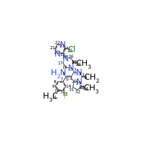 C=C(/N=C(\C=C(/N)c1ccc(C)c(F)c1)N1CCN(c2nccnc2Cl)C[C@H]1C)N1CCC[C@@H]1C